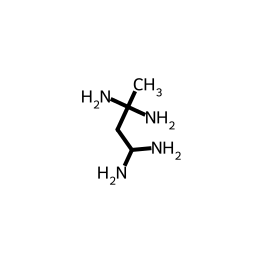 CC(N)(N)CC(N)N